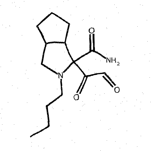 CCCCN1CC2CCCC2C1(C(N)=O)C(=O)C=O